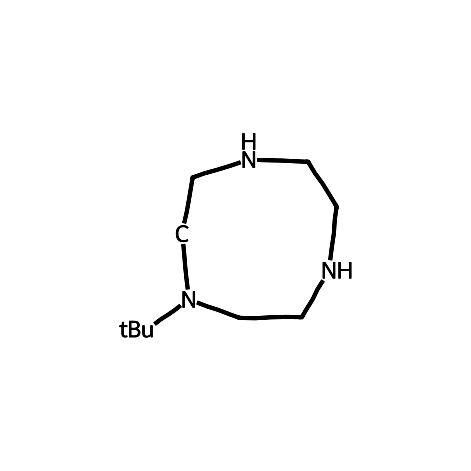 CC(C)(C)N1CCNCCNCC1